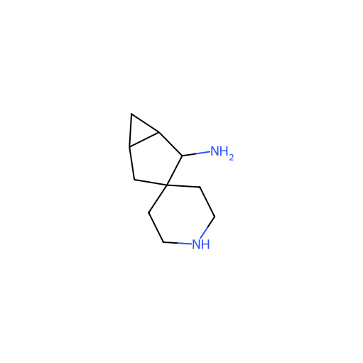 NC1C2CC2CC12CCNCC2